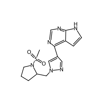 CS(=O)(=O)N1CCCC1Cn1cc(-c2ncnc3[nH]ccc23)cn1